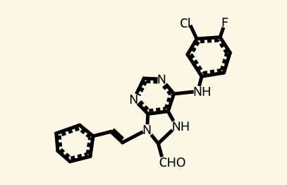 O=CC1Nc2c(Nc3ccc(F)c(Cl)c3)ncnc2N1C=Cc1ccccc1